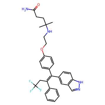 CC(C)(CCC(N)=O)NCCOc1ccc(C(=C(CC(F)(F)F)c2ccccc2)c2ccc3[nH]ncc3c2)cc1